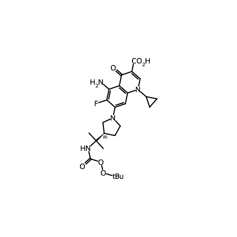 CC(C)(C)OOC(=O)NC(C)(C)[C@@H]1CCN(c2cc3c(c(N)c2F)c(=O)c(C(=O)O)cn3C2CC2)C1